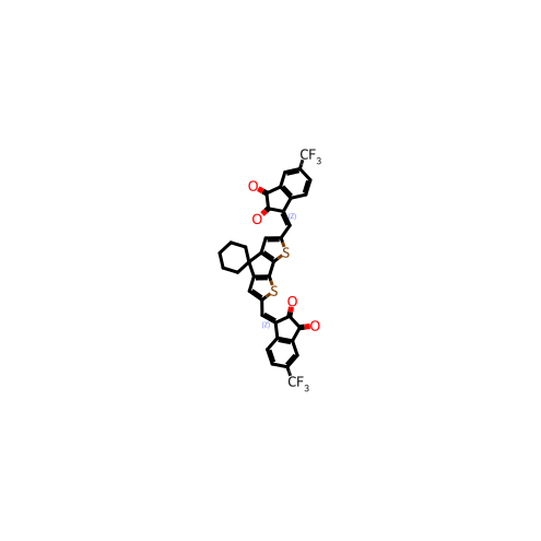 O=C1C(=O)c2cc(C(F)(F)F)ccc2/C1=C/c1cc2c(s1)-c1sc(/C=C3\C(=O)C(=O)c4cc(C(F)(F)F)ccc43)cc1C21CCCCC1